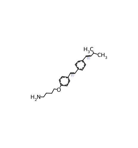 CC(C)/C=C/c1ccc(/C=C/c2ccc(OCCCCN)cc2)cc1